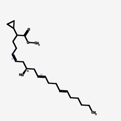 CCCCCC=CCC/C=C/C[C@@H](O)C/C=C\CCC(C(=O)OC)C1CC1